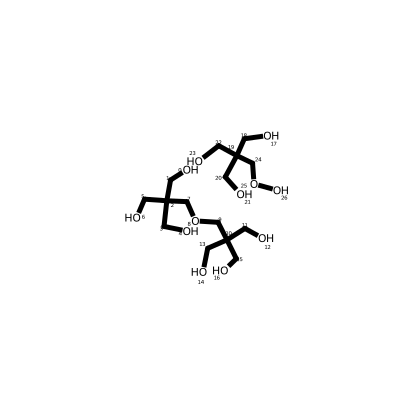 OCC(CO)(CO)COCC(CO)(CO)CO.OCC(CO)(CO)COO